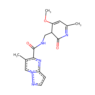 COC1=CC(C)=NC(=O)C1CNC(=O)c1nc2ccnn2cc1C